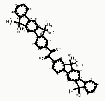 CC1(C)c2ccccc2-c2cc3c(cc21)-c1ccc(C(=O)C(=S)c2ccc4c(c2)C(C)(C)c2cc5c(cc2-4)C(C)(C)c2ccccc2-5)cc1C3(C)C